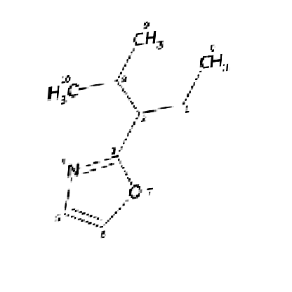 CCC(c1ncco1)C(C)C